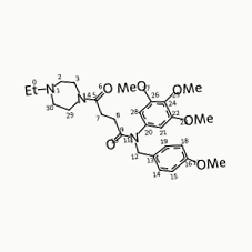 CCN1CCN(C(=O)CCC(=O)N(Cc2ccc(OC)cc2)c2cc(OC)c(OC)c(OC)c2)CC1